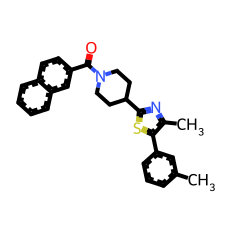 Cc1cccc(-c2sc(C3CCN(C(=O)c4ccc5ccccc5c4)CC3)nc2C)c1